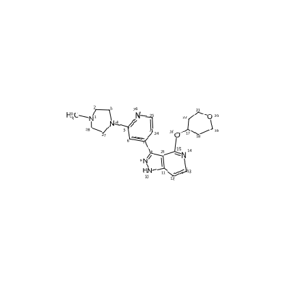 CN1CCN(c2cc(-c3n[nH]c4ccnc(OC5CCOCC5)c34)ccn2)CC1